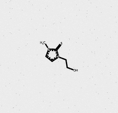 Cn1ccn(CCO)c1=S